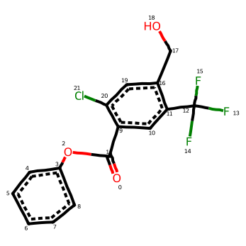 O=C(Oc1ccccc1)c1cc(C(F)(F)F)c(CO)cc1Cl